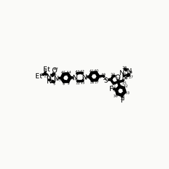 CCC(CC)n1ncn(-c2ccc(N3CCN(c4ccc(CSC5COC(Cn6cncn6)(c6ccc(F)cc6F)C5)cc4)CC3)cc2)c1=O